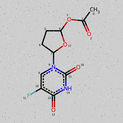 CC(=O)OC1CCC(n2cc(F)c(=O)[nH]c2=O)O1